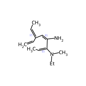 C=CC(=C/C)/C=C(N)\C(=C/C)N(C)CC